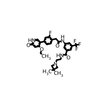 CCOc1cc(=O)[nH]cc1-c1ccc(CC(=O)Nc2cc(C(=O)NCCN3CC(C)(C)C3)cc(C(F)(F)F)c2)c(F)c1